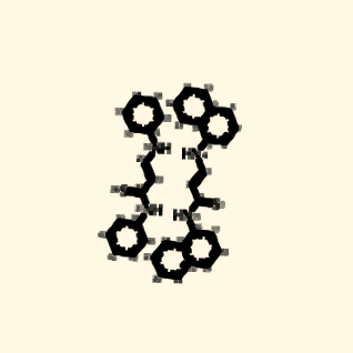 S=C(C=CNc1cccc2ccccc12)Nc1cccc2ccccc12.S=C(C=CNc1ccccc1)Nc1ccccc1